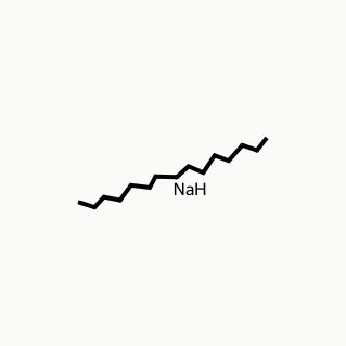 CCCCCCCCCCCCCCC.[NaH]